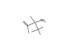 C=C(C)C(C)(N)C(C)(C)C